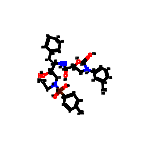 CCc1ccc(S(=O)(=O)N(CC(C)C)C[C@@H](O)[C@H](Cc2ccccc2)NC(=O)[C@@H]2CN(c3cccc(C(C)=O)c3)C(=O)O2)cc1